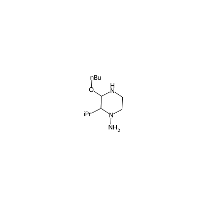 CCCCOC1NCCN(N)C1C(C)C